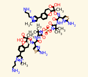 C[n+]1cc(-c2ccc3c(c2)CC[C@@H]([C@@](C)(O/N=C(\C(=O)N[C@@H]2C(=O)N(OS(=O)(=O)ON4C(=O)[C@@H](NC(=O)/C(=N\O[C@@](C)(C(=O)O)[C@@H]5CCc6cc(-c7cn(CCCN)[n+](C)c7)ccc6O5)c5csc(N)n5)C4(C)C)C2(C)C)c2csc(N)n2)C(=O)O)O3)cn1CCCN